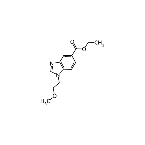 CCOC(=O)c1ccc2c(c1)ncn2CCOC